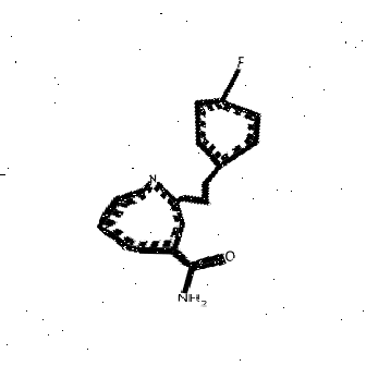 NC(=O)c1cccnc1[CH]c1ccc(F)cc1